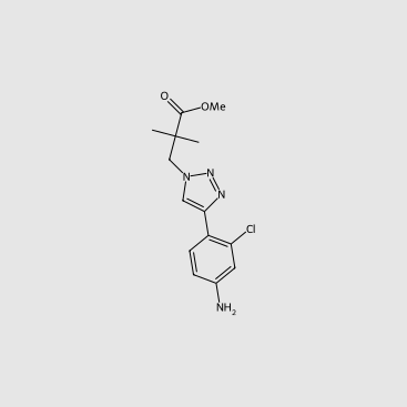 COC(=O)C(C)(C)Cn1cc(-c2ccc(N)cc2Cl)nn1